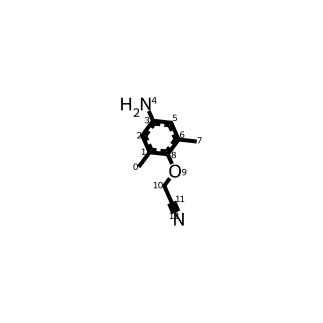 Cc1cc(N)cc(C)c1OCC#N